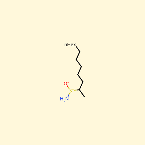 CCCCCCCCCCCC(C)[S+](N)[O-]